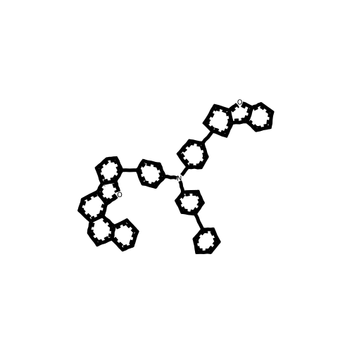 c1ccc(-c2ccc(N(c3ccc(-c4ccc5oc6ccccc6c5c4)cc3)c3ccc(-c4cccc5c4oc4c5ccc5ccc6ccccc6c54)cc3)cc2)cc1